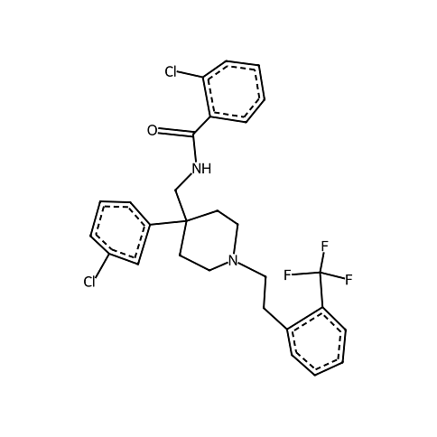 O=C(NCC1(c2cccc(Cl)c2)CCN(CCc2ccccc2C(F)(F)F)CC1)c1ccccc1Cl